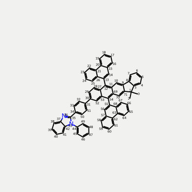 CC1(C)c2ccccc2-c2cc3c(-c4cc5ccccc5c5ccccc45)c4ccc(-c5ccc(-c6nc7ccccc7n6-c6ccccc6)cc5)cc4c(-c4cc5ccccc5c5ccccc45)c3cc21